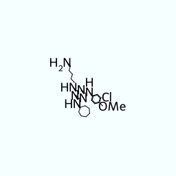 COc1ccc(Nc2nc(NCCCCCN)nc(NC3CCCCCC3)n2)cc1Cl